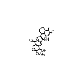 COC(=O)C(O)c1cc2n(c(=O)c1C)CC1=C2NC2C=C(F)C(C)=C3CCCC1=C32